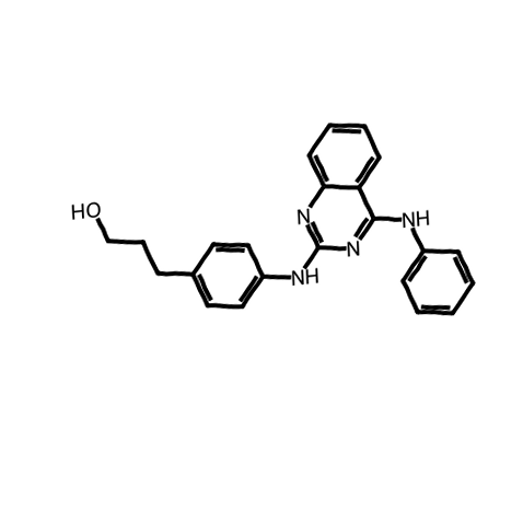 OCCCc1ccc(Nc2nc(Nc3ccccc3)c3ccccc3n2)cc1